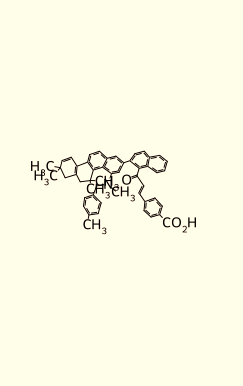 Cc1ccc(CN(C)c2cc(-c3ccc4ccccc4c3C(=O)C=Cc3ccc(C(=O)O)cc3)cc3ccc4c(c23)C(C)(C)CC2=C4C=CC(C)(C)C2)cc1